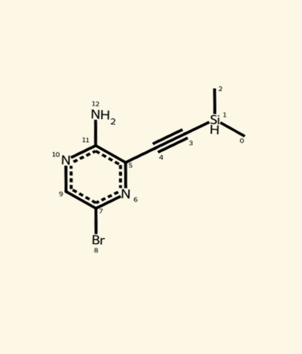 C[SiH](C)C#Cc1nc(Br)cnc1N